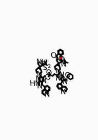 Cc1csc(C2(CN)C3CCN(c4nc5[nH]nc(-c6cccc7ncccc67)c5nc4COC(=O)CCc4nc5c(-c6cccc7ncccc67)nn(C6CCCCO6)c5nc4N4CCC5C(C4)C5(CN4C(=O)c5ccccc5C4=O)c4nc(C)cs4)CC32)n1